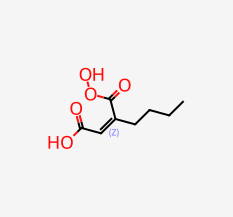 CCCC/C(=C/C(=O)O)C(=O)OO